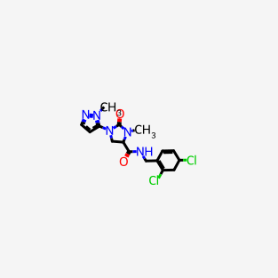 CN1C(=O)N(c2ccnn2C)CC1C(=O)NCC1=C(Cl)CC(Cl)C=C1